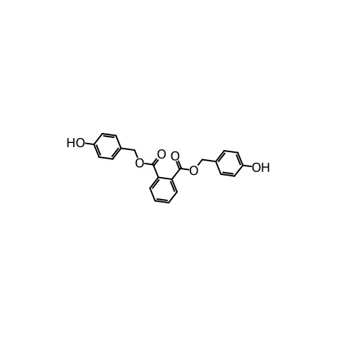 O=C(OCc1ccc(O)cc1)c1ccccc1C(=O)OCc1ccc(O)cc1